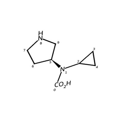 O=C(O)N(C1CC1)[C@H]1CCNC1